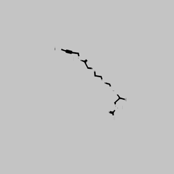 CC(C)C#CCNC(=O)COCCOCSSC(CNC(=O)C(C)C)C(C)C